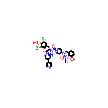 COc1cccc2c1NC(=O)N(C1CCN(C(=O)N[C@H](Cc3cc(Br)c(O)c(Br)c3)C(=O)N3CCC(c4ccncc4)CC3)CC1)C2